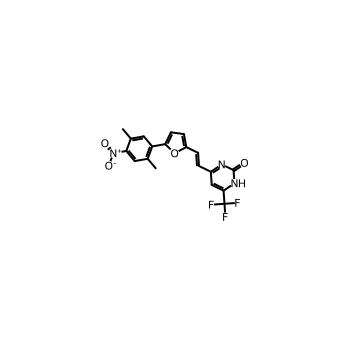 Cc1cc([N+](=O)[O-])c(C)cc1-c1ccc(C=Cc2cc(C(F)(F)F)[nH]c(=O)n2)o1